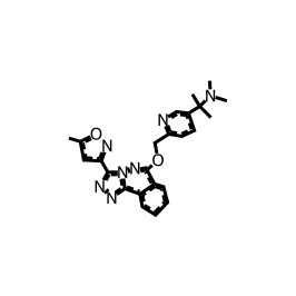 Cc1cc(-c2nnc3c4ccccc4c(OCc4ccc(C(C)(C)N(C)C)cn4)nn23)no1